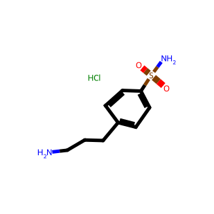 Cl.NCCCc1ccc(S(N)(=O)=O)cc1